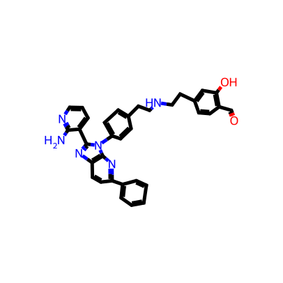 Nc1ncccc1-c1nc2ccc(-c3ccccc3)nc2n1-c1ccc(CCNCCc2ccc(C=O)c(O)c2)cc1